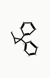 CC1CC1(c1ccccc1)c1ccccc1